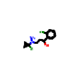 NN(CCC(O)c1ccccc1Cl)C1(Cl)CC1